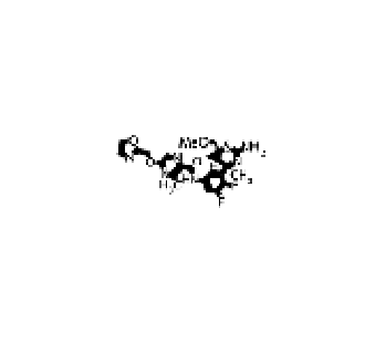 COC[C@]12C[C@H]1[C@@](C)(c1cc(NC(=O)c3ncc(OCc4ncco4)nc3C)cc(F)c1F)N=C(N)S2